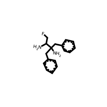 NC(CF)C(N)(Cc1ccccc1)Cc1ccccc1